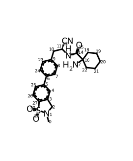 CN1Cc2cc(-c3ccc(C[C@@H](C#N)NC(=O)C4(N)CCCCC4)cc3)ccc2S1(=O)=O